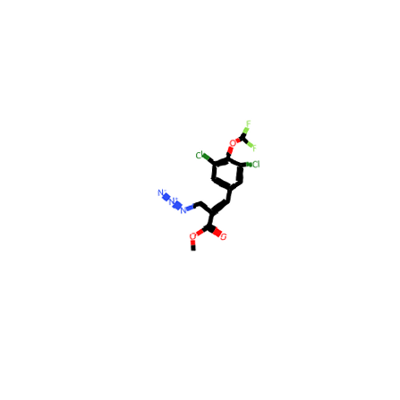 COC(=O)/C(=C/c1cc(Cl)c(OC(F)F)c(Cl)c1)CN=[N+]=[N-]